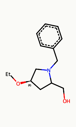 CCO[C@@H]1CC(CO)N(Cc2ccccc2)C1